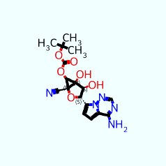 CC(C)(C)OC(=O)OC1[C@@]2(C#N)O[C@@H](c3ccc4c(N)ncnn34)[C@H](O)[C@@]12O